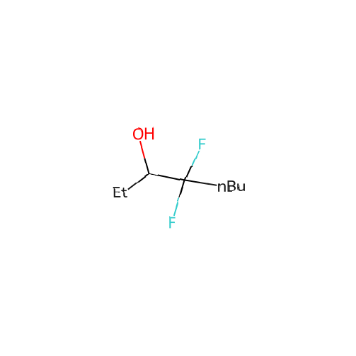 [CH2]CC(O)C(F)(F)CCCC